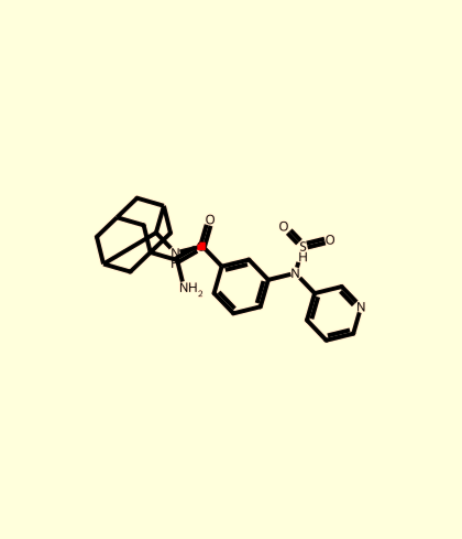 NC(=O)C12CC3CC(C1)C(NC(=O)c1cccc(N(c4cccnc4)[SH](=O)=O)c1)C(C3)C2